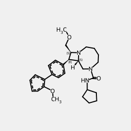 COC[C@@H]1[C@H](c2ccc(-c3ccccc3OC)cc2)[C@H]2CN(C(=O)NC3CCCC3)CCCCN12